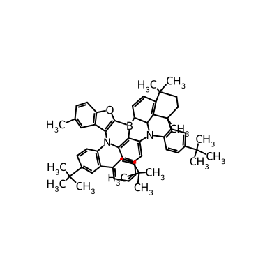 Cc1ccc2oc3c(c2c1)N(c1ccc(C(C)(C)C)cc1-c1ccccc1)c1cc(C(C)(C)C)cc2c1B3C1C=CC3=C4C1N2c1ccc(C(C)(C)C)cc1C4(C)CCC3(C)C